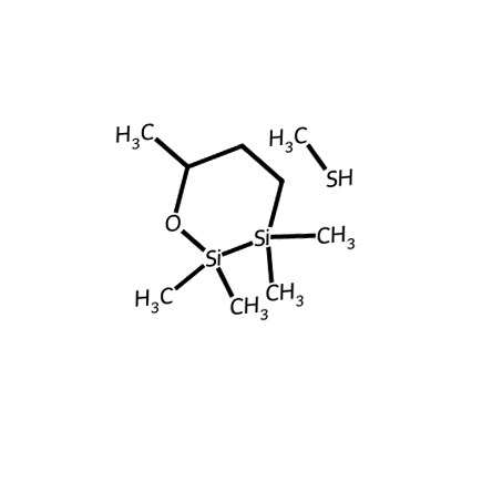 CC1CC[Si](C)(C)[Si](C)(C)O1.CS